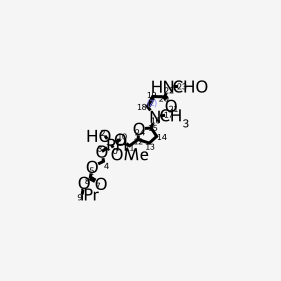 CO[PH](O)(OCOC(=O)OC(C)C)OCC1CCC(N(C)/C=C\C(=O)NC=O)O1